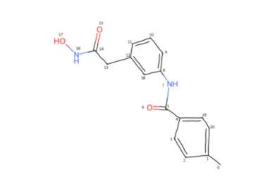 Cc1ccc(C(=O)Nc2cccc(CC(=O)NO)c2)cc1